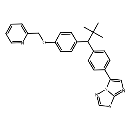 CC(C)(C)C(c1ccc(OCc2ccccn2)cc1)c1ccc(-c2cnc3scnn23)cc1